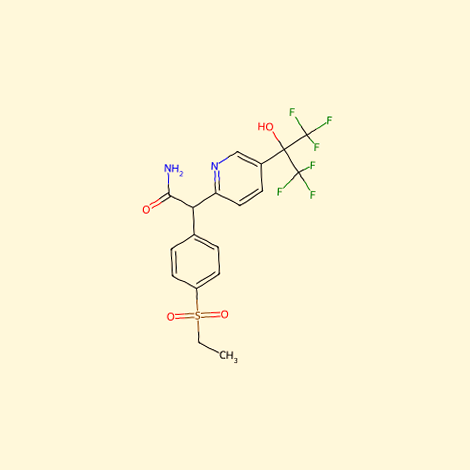 CCS(=O)(=O)c1ccc(C(C(N)=O)c2ccc(C(O)(C(F)(F)F)C(F)(F)F)cn2)cc1